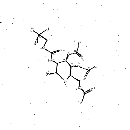 CC(=O)OC[C@H]1O[C@@H](S)[C@@H](NC(=O)OCC(Cl)(Cl)Cl)[C@@H](OC(C)=O)[C@H]1OC(C)=O